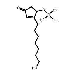 CC(C)(C)[Si](C)(C)OC1CC(=O)C=C1CCCCCCCO